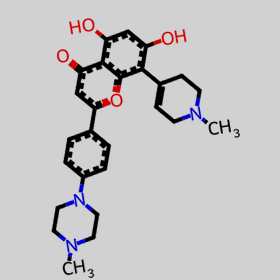 CN1CC=C(c2c(O)cc(O)c3c(=O)cc(-c4ccc(N5CCN(C)CC5)cc4)oc23)CC1